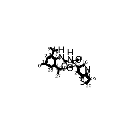 Cc1cc(C(C)C)c(NC(=O)NS(=O)(=O)c2cnc3ccsc3c2)c(C(C)C)c1